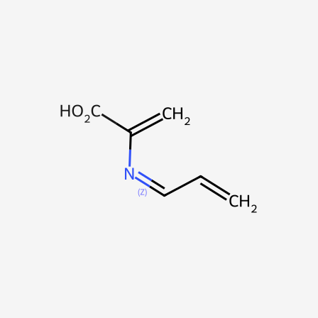 C=C/C=N\C(=C)C(=O)O